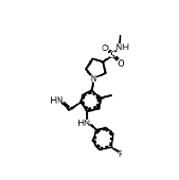 CNS(=O)(=O)C1CCN(c2cc(C=N)c(Nc3ccc(F)cc3)cc2C)C1